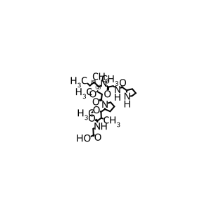 CC[C@H](C)[C@@H](C(CC(=O)N1CCCC1C(OC)C(C)C(=O)NCC(=O)O)OC)N(C)C(=O)CNC(=O)C1CCCN1